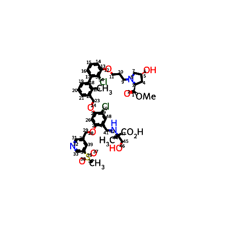 COC(=O)[C@@H]1C[C@@H](O)CN1CCCOc1cccc(-c2cccc(COc3cc(OCc4cncc(S(C)(=O)=O)c4)c(CNC(C)(CO)C(=O)O)cc3Cl)c2C)c1Cl